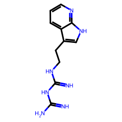 N=C(N)NC(=N)NCCc1c[nH]c2ncccc12